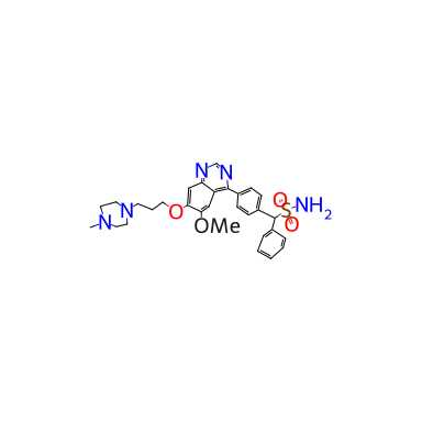 COc1cc2c(-c3ccc(C(c4ccccc4)S(N)(=O)=O)cc3)ncnc2cc1OCCCN1CCN(C)CC1